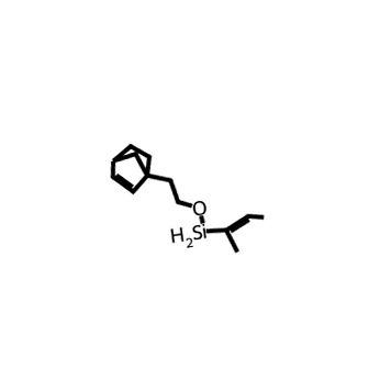 CC=C(C)[SiH2]OCCC12C=CC(CC1)C2